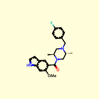 COc1cc2[nH]ccc2cc1C(=O)N1C[C@@H](C)N(Cc2ccc(F)cc2)C[C@@H]1C